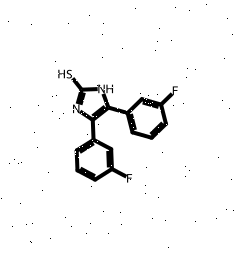 Fc1cccc(-c2nc(S)[nH]c2-c2cccc(F)c2)c1